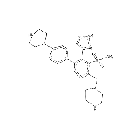 NS(=O)(=O)c1c(CC2CCNCC2)ccc(-c2ccc(C3CCNCC3)cc2)c1-c1nn[nH]n1